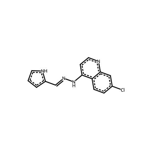 Clc1ccc2c(N/N=C/c3ccc[nH]3)ccnc2c1